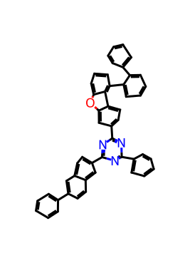 c1ccc(-c2ccc3cc(-c4nc(-c5ccccc5)nc(-c5ccc6c(c5)oc5cccc(-c7ccccc7-c7ccccc7)c56)n4)ccc3c2)cc1